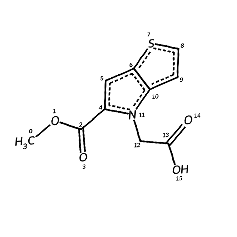 COC(=O)c1cc2sccc2n1CC(=O)O